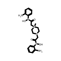 C[N+]1(CC(=O)N(O)c2ccccc2N)CCN(CC(=O)N(O)c2ccccc2N)CC1